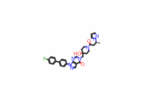 C[C@@H](CC(=O)N1CCC(O)(Cn2cnc3c(cnn3-c3ccc(-c4ccc(F)cc4)cc3)c2=O)CC1)n1cccn1